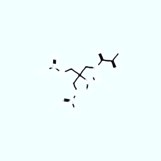 CC(=O)C(=O)OCC(CO[N+](=O)[O-])(CO[N+](=O)[O-])[N+](=O)[O-]